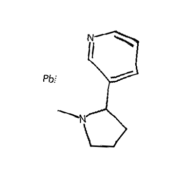 CN1CCCC1c1cccnc1.[Pb]